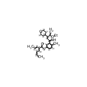 C=C(OCC)/C(=C\C(=N)c1cc(SC(=O)C(/C=C/C)=C/C=N\C)ccc1C)C1CCOCC1